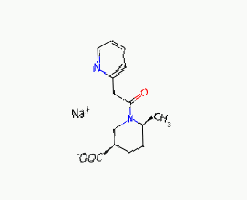 C[C@H]1CC[C@@H](C(=O)[O-])CN1C(=O)Cc1ccccn1.[Na+]